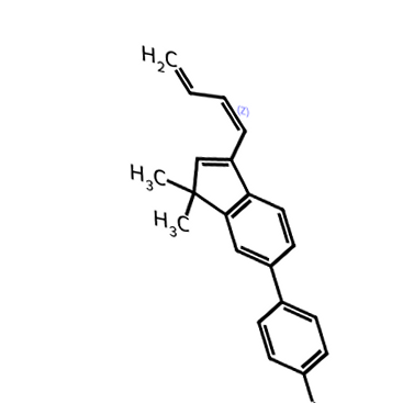 C=C/C=C\C1=CC(C)(C)c2cc(-c3ccc(I)cc3)ccc21